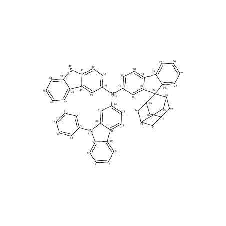 c1ccc(-n2c3ccccc3c3ccc(N(c4ccc5c(c4)C4(c6ccccc6-5)C5CC6CC(C5)CC4C6)c4ccc5sc6ccccc6c5c4)cc32)cc1